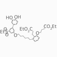 CCOC(=O)CCCOc1cccc(CCCCCCOc2cc(-c3ccc(O)c(O)c3)cc(S(=O)(=O)CC)c2)c1CCC(=O)OCC